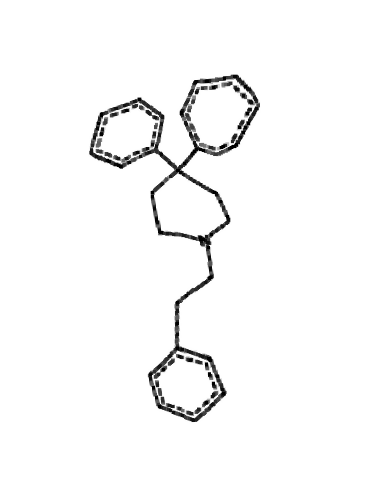 c1ccc(CCN2CCC(c3ccccc3)(c3ccccc3)CC2)cc1